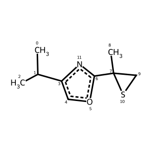 CC(C)c1coc(C2(C)CS2)n1